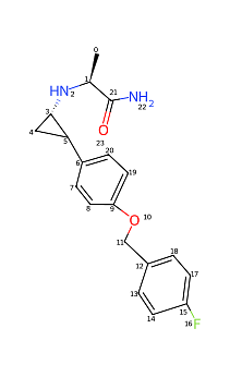 C[C@H](N[C@H]1CC1c1ccc(OCc2ccc(F)cc2)cc1)C(N)=O